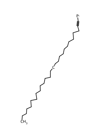 CCCCCCCCCCCCCCCCCCCCCCCCCC#C[P]